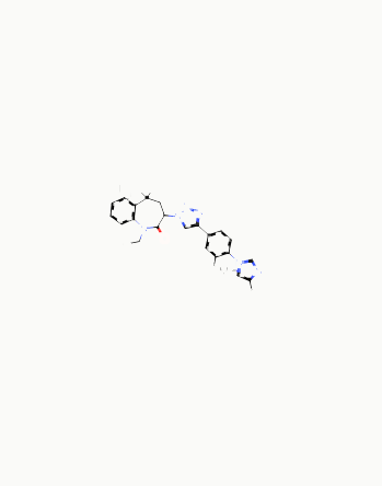 COc1cc(-c2cn(C3CC(C)(C)c4ccccc4N(CC(F)(F)F)C3=O)nn2)ccc1-n1cnc(C)c1